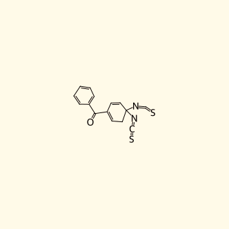 O=C(C1=CCC(N=C=S)(N=C=S)C=C1)c1ccccc1